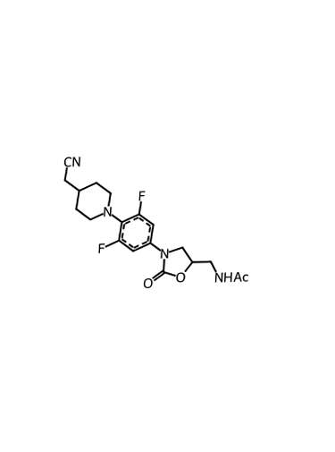 CC(=O)NCC1CN(c2cc(F)c(N3CCC(CC#N)CC3)c(F)c2)C(=O)O1